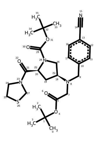 CC(C)(C)OC(=O)CN(Cc1ccc(C#N)cc1)[C@H]1C[C@@H](C(=O)N2CCSC2)N(C(=O)OC(C)(C)C)C1